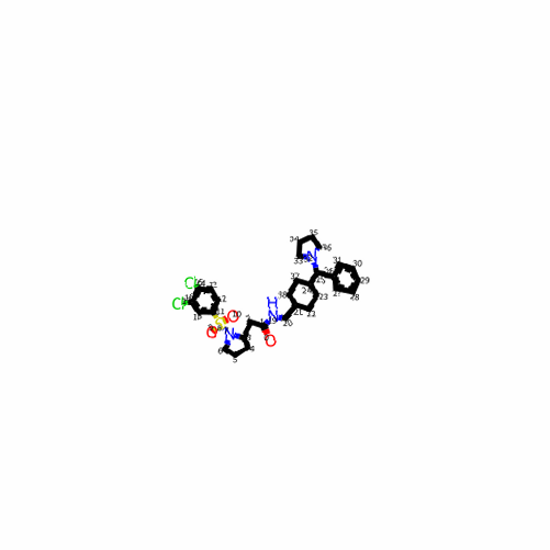 O=C(CC1CCCN1S(=O)(=O)c1ccc(Cl)c(Cl)c1)NCC1CCC(C(c2ccccc2)N2CCCC2)CC1